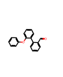 O=[C]c1ccccc1-c1ccccc1Oc1ccccc1